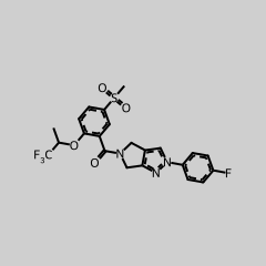 CC(Oc1ccc(S(C)(=O)=O)cc1C(=O)N1Cc2cn(-c3ccc(F)cc3)nc2C1)C(F)(F)F